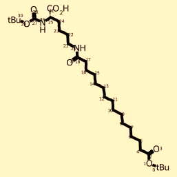 CC(C)(C)OC(=O)CCCCCCCCCCCCCCC(=O)NCCCC[C@H](NC(=O)OC(C)(C)C)C(=O)O